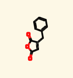 O=C1C=C(Cc2ccccc2)C(=O)O1